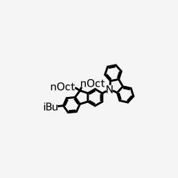 CCCCCCCCC1(CCCCCCCC)c2cc(C(C)CC)ccc2-c2ccc(-n3c4ccccc4c4ccccc43)cc21